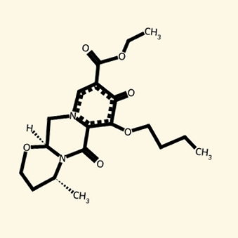 CCCCOc1c2n(cc(C(=O)OCC)c1=O)C[C@@H]1OCC[C@@H](C)N1C2=O